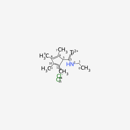 CCN[C](=[Ti+2])C1C(C)=C(C)C(C)=C1C.[Cl-].[Cl-]